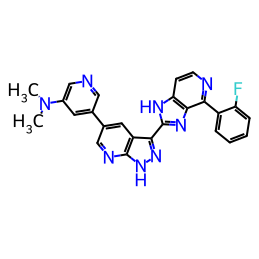 CN(C)c1cncc(-c2cnc3[nH]nc(-c4nc5c(-c6ccccc6F)nccc5[nH]4)c3c2)c1